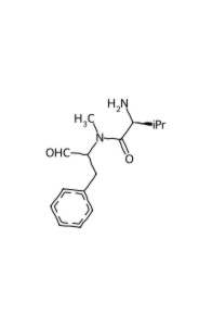 CC(C)[C@H](N)C(=O)N(C)C(C=O)Cc1ccccc1